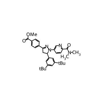 COC(=O)c1ccc(C2=NN(c3ccc(C(=O)N(C)C)nc3)C(c3cc(C(C)(C)C)cc(C(C)(C)C)c3)C2)cc1